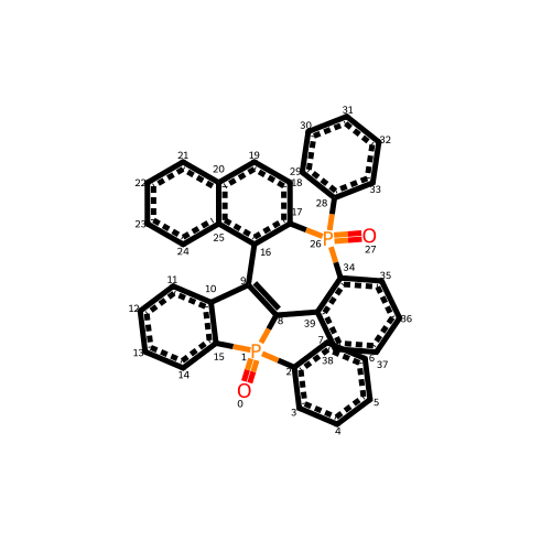 O=P1(c2ccccc2)C2=C(c3ccccc31)c1c(ccc3ccccc13)P(=O)(c1ccccc1)c1ccccc12